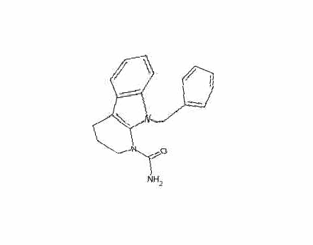 NC(=O)N1CCCc2c1n(Cc1ccccc1)c1[c]cccc21